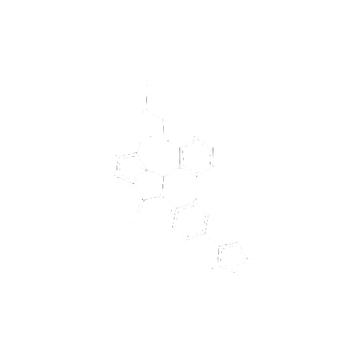 CC(C)(C)c1n[nH]c2c1C(c1cccnc1OCCO)N(c1ccc(-c3cccs3)cc1)C2=O